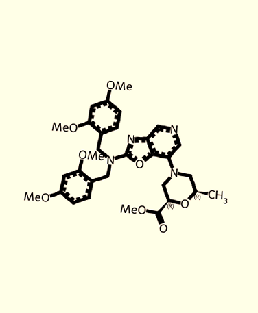 COC(=O)[C@H]1CN(c2cncc3nc(N(Cc4ccc(OC)cc4OC)Cc4ccc(OC)cc4OC)oc23)C[C@@H](C)O1